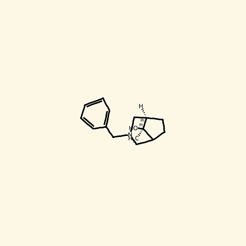 C[C@@]1(O)C2CC[C@@H]1CN(Cc1ccccc1)C2